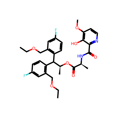 CCOCc1cc(F)ccc1C(c1ccc(F)cc1COCC)[C@H](C)OC(=O)[C@H](C)NC(=O)c1nccc(OC)c1O